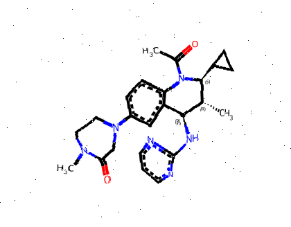 CC(=O)N1c2ccc(N3CCN(C)C(=O)C3)cc2[C@H](Nc2ncccn2)[C@@H](C)[C@@H]1C1CC1